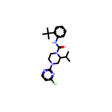 CC(C)C1CN(c2nccc(Cl)n2)CCN1C(=O)Nc1ccccc1C(C)(C)C